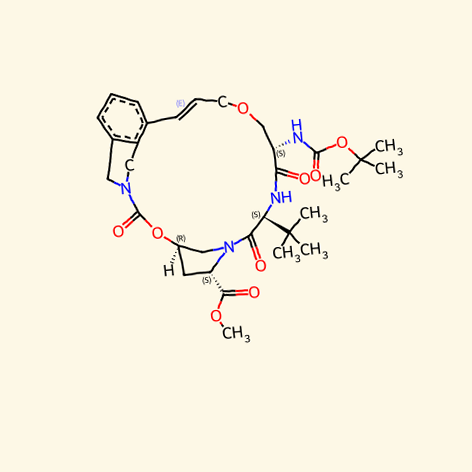 COC(=O)[C@@H]1C[C@@H]2CN1C(=O)[C@H](C(C)(C)C)NC(=O)[C@@H](NC(=O)OC(C)(C)C)COC/C=C/c1cccc3c1CN(C3)C(=O)O2